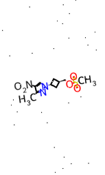 Cc1nn([C@H]2C[C@H](COS(C)(=O)=O)C2)cc1[N+](=O)[O-]